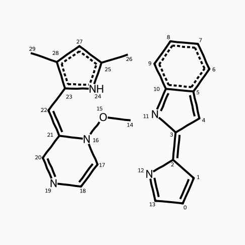 C1=C/C(=C2\C=c3ccccc3=N2)N=C1.CON1C=CN=C/C1=C/c1[nH]c(C)cc1C